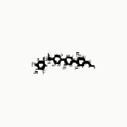 CCCc1cc(F)c(-c2ccc(-c3ccc(C(F)(F)Oc4cc(F)c(F)c(F)c4)cc3)c(F)c2)c(F)c1